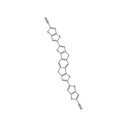 N#Cc1cc2sc(-c3cc4c(s3)-c3cc5c(cc3C4)-c3sc(-c4cc6sc(C#N)cc6s4)cc3C5)cc2s1